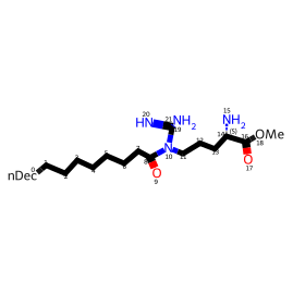 CCCCCCCCCCCCCCCCCC(=O)N(CCC[C@H](N)C(=O)OC)C(=N)N